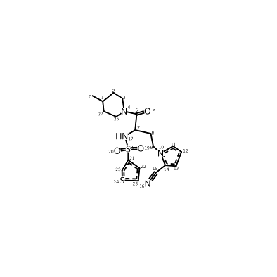 CC1CCN(C(=O)C(CCn2cccc2C#N)NS(=O)(=O)c2ccsc2)CC1